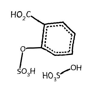 O=C(O)c1ccccc1OS(=O)(=O)O.O=S(=O)(O)O